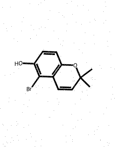 CC1(C)C=Cc2c(ccc(O)c2Br)O1